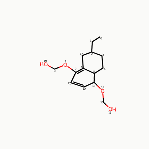 CCC1CCC2C(=C(OCO)C=CC2OCO)C1